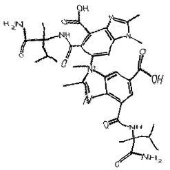 CC1=Nc2c(C(=O)NC(C)(C(N)=O)C(C)C)cc(C(=O)O)cc2[N+]1(C)c1cc2c(nc(C)n2C)c(C(=O)O)c1C(=O)NC(C)(C(N)=O)C(C)C